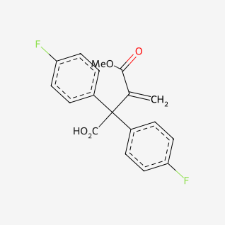 C=C(C(=O)OC)C(C(=O)O)(c1ccc(F)cc1)c1ccc(F)cc1